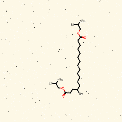 CCCCC(CC)COC(=O)CCCCCCCCCCCCC(CCC(=O)OCC(CC)CCCC)C(C)C